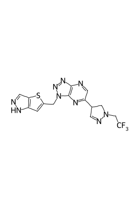 FC(F)(F)CN1CC(c2cnc3nnn(Cc4cc5[nH]ncc5s4)c3n2)C=N1